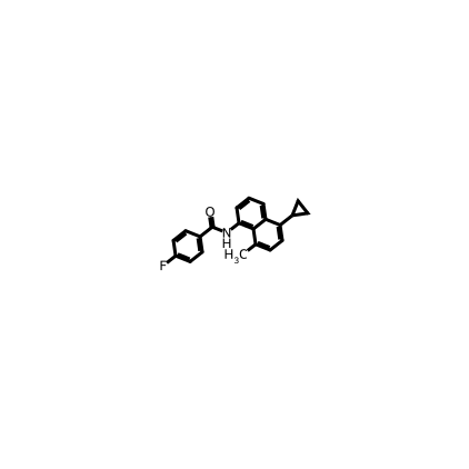 Cc1ccc(C2CC2)c2cccc(NC(=O)c3ccc(F)cc3)c12